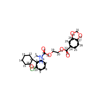 O=C(NC[C@@]1(c2ccccc2Cl)CCCCC1=O)OCCOC(=O)c1ccc2c(c1)OCO2